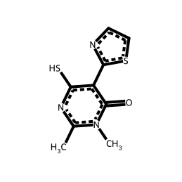 Cc1nc(S)c(-c2nccs2)c(=O)n1C